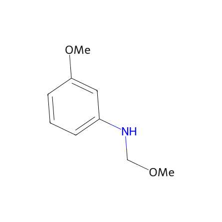 COCNc1cccc(OC)c1